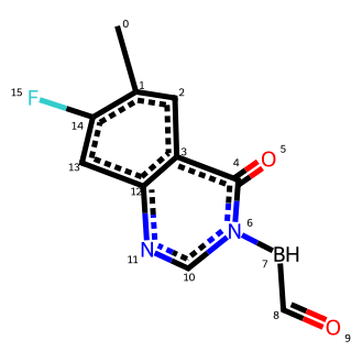 Cc1cc2c(=O)n(BC=O)cnc2cc1F